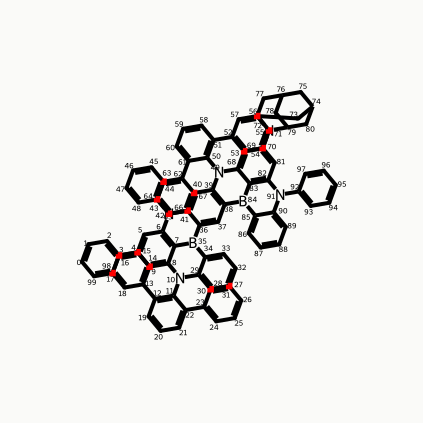 c1ccc(-c2cc3c4c(c2)N(c2c(-c5ccccc5)cccc2-c2ccccc2)c2ccccc2B4c2cc4c(cc2N3c2ccccc2)N(c2c(-c3ccccc3)cccc2-c2ccccc2)c2cc(N3C5CC6CC(C5)CC3C6)cc3c2B4c2ccccc2N3c2ccccc2)cc1